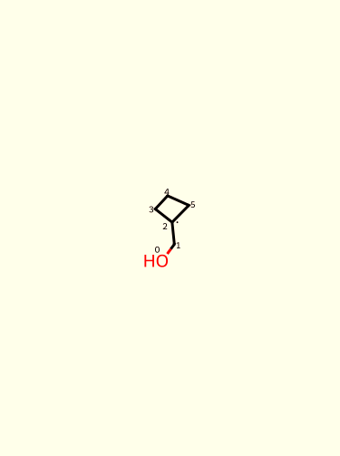 OC[C]1CCC1